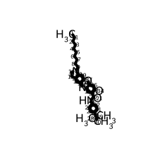 CCCCCCCCCCN1CCc2cc3nc4cc(C(=O)Nc5ccc(C(C)(C)C)cc5)c(=O)cc-4oc3cc21